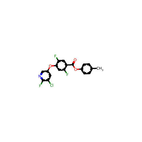 Cc1ccc(OC(=O)c2cc(F)c(Oc3cnc(F)c(Cl)c3)cc2F)cc1